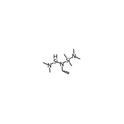 C=CN([SiH](C)N(C)C)[Si](C)(C)N(C)C